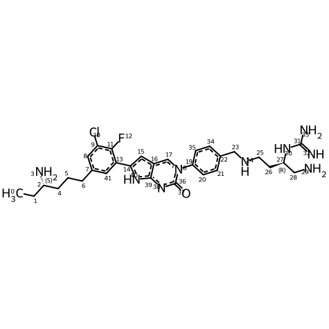 CC[C@H](N)CCCc1cc(Cl)c(F)c(-c2cc3cn(-c4ccc(CNCC[C@H](CN)NC(=N)N)cc4)c(=O)nc3[nH]2)c1